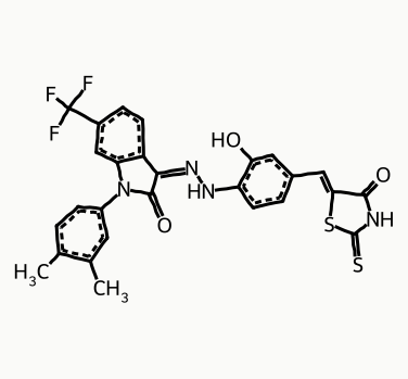 Cc1ccc(N2C(=O)/C(=N\Nc3ccc(/C=C4\SC(=S)NC4=O)cc3O)c3ccc(C(F)(F)F)cc32)cc1C